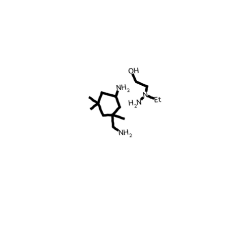 CC1(C)CC(N)CC(C)(CN)C1.CCN(N)CCO